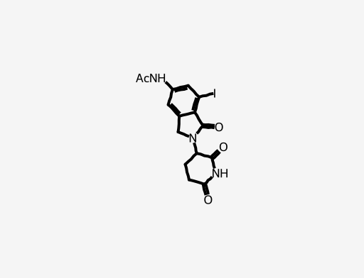 CC(=O)Nc1cc(I)c2c(c1)CN(C1CCC(=O)NC1=O)C2=O